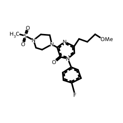 COCCCc1cn(-c2ccc(F)cc2)c(=O)c(N2CCN(S(C)(=O)=O)CC2)n1